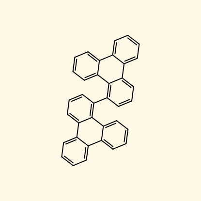 c1ccc2c(c1)c1ccccc1c1c(-c3cccc4c5ccccc5c5ccccc5c34)cccc21